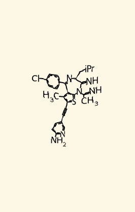 CC(=N)N1C(=N)[C@H](CC(C)C)N=C(c2ccc(Cl)cc2)c2c1sc(C#Cc1ccc(N)nc1)c2C